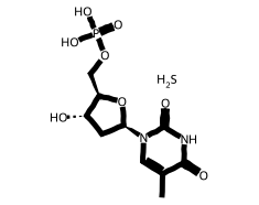 Cc1cn([C@H]2C[C@H](O)[C@@H](COP(=O)(O)O)O2)c(=O)[nH]c1=O.S